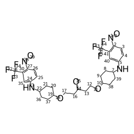 O=Nc1ccc(NC2CCC(OCCC(=O)CCOC3CCC(Nc4ccc(N=O)c(C(F)(F)F)c4)CC3)CC2)cc1C(F)(F)F